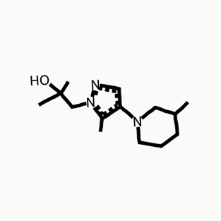 Cc1c(N2CCCC(C)C2)cnn1CC(C)(C)O